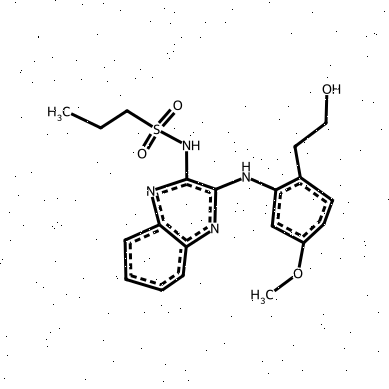 CCCS(=O)(=O)Nc1nc2ccccc2nc1Nc1cc(OC)ccc1CCO